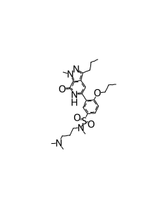 CCCOc1ccc(S(=O)(=O)N(C)CCCN(C)C)cc1-c1cc2c(CCC)nn(C)c2c(=O)[nH]1